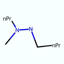 CCCC[N]N(C)CCC